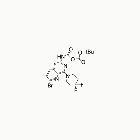 CC(C)(C)OC(=O)OC(=O)Nc1cc2ccc(Br)nc2c(N2CCC(F)(F)CC2)n1